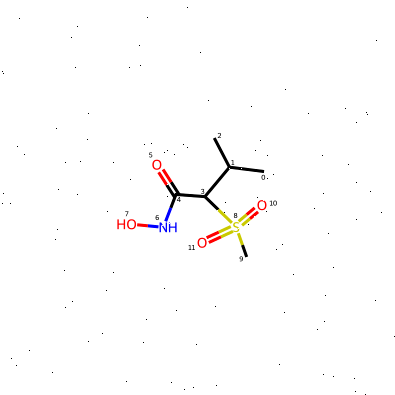 CC(C)C(C(=O)NO)S(C)(=O)=O